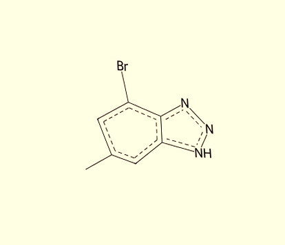 Cc1cc(Br)c2nn[nH]c2c1